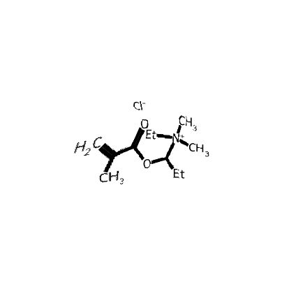 C=C(C)C(=O)OC(CC)[N+](C)(C)CC.[Cl-]